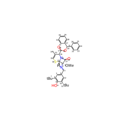 CO[C@@]1(N=Cc2cc(C(C)(C)C)c(O)c(C(C)(C)C)c2)C(=O)N2C(C(=O)OC(c3ccccc3)c3ccccc3)C(C)=CS[C@H]21